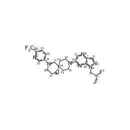 FC(F)Cn1ncc2ncc(N3CCC4(CC3)CN(c3ccc(C(F)(F)F)nc3)CCO4)nc21